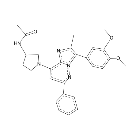 COc1ccc(-c2c(C)nc3c(N4CCC(NC(C)=O)C4)cc(-c4ccccc4)nn23)cc1OC